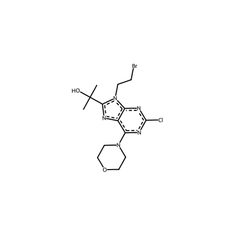 CC(C)(O)c1nc2c(N3CCOCC3)nc(Cl)nc2n1CCBr